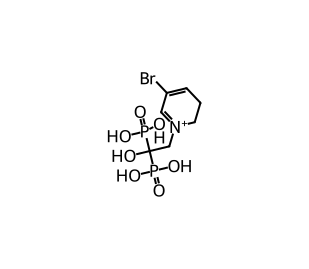 O=P(O)(O)C(O)(C[N+]1=CC(Br)=CCC1)P(=O)(O)O